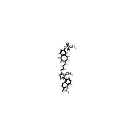 Cc1ccc2c(-c3nnc(SCCCN4CCc5ccc(OS(C)(=O)=O)cc5CC4)n3C)cccc2n1